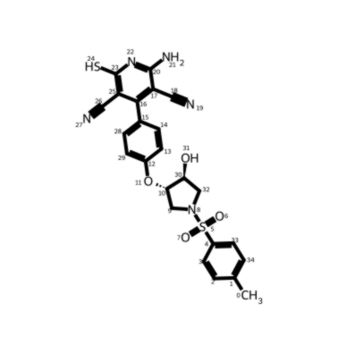 Cc1ccc(S(=O)(=O)N2C[C@H](Oc3ccc(-c4c(C#N)c(N)nc(S)c4C#N)cc3)[C@@H](O)C2)cc1